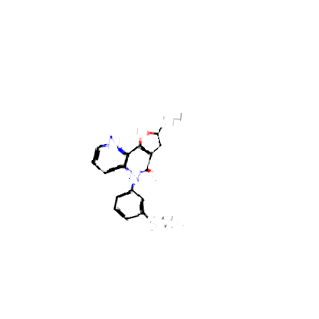 CSc1cccc(-n2c(=O)c3c(c4ncccc42)OC(C)C3)c1